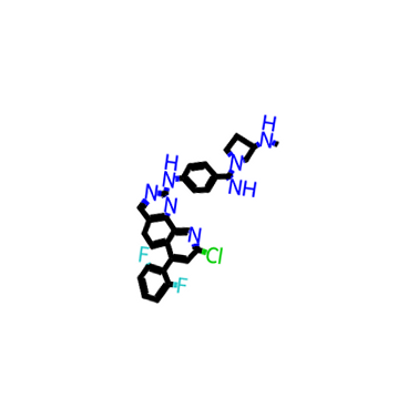 CNC1CCN(C(=N)c2ccc(Nc3ncc4c(n3)C3=CN=C(Cl)C=C(c5c(F)cccc5F)C3=CC4)cc2)C1